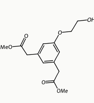 COC(=O)Cc1cc(CC(=O)OC)cc(OCCO)c1